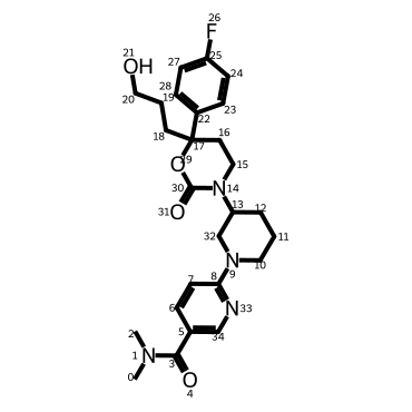 CN(C)C(=O)c1ccc(N2CCCC(N3CCC(CCCO)(c4ccc(F)cc4)OC3=O)C2)nc1